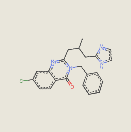 CC(Cc1ncc[nH]1)Cc1nc2cc(Cl)ccc2c(=O)n1Cc1ccccc1